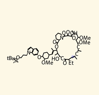 CCC1/C=C(\C)CC(C)CC(OC)C2OC(O)(C(=O)C(=O)N3CCCCC3C(=O)OC(C(C)=CC3CCC(Oc4ccc5ccn(CCCO[Si](C)(C)C(C)(C)C)c5c4)C(OC)C3)C(C)C(O)CC1=O)C(C)CC2OC